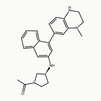 CC(=O)N1CC[C@H](Nc2cc(-c3ccc4c(c3)N(C)CCN4)c3ccccc3c2)C1